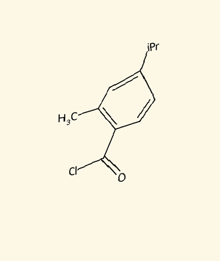 Cc1cc(C(C)C)ccc1C(=O)Cl